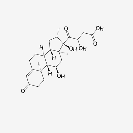 C[C@H]1C[C@H]2[C@@H]3CCC4=CC(=O)CC[C@]4(C)[C@H]3[C@H](O)C[C@]2(C)[C@@]1(O)C(=O)C(O)CC(=O)O